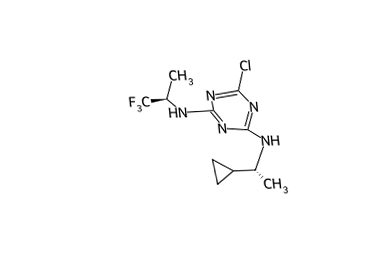 C[C@@H](Nc1nc(Cl)nc(N[C@H](C)C(F)(F)F)n1)C1CC1